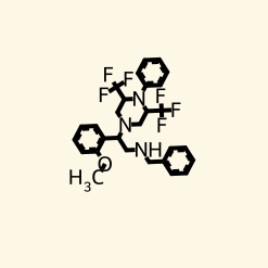 COc1ccccc1C(CNCc1ccccc1)N1CC(C(F)(F)F)N(c2ccccc2)C(C(F)(F)F)C1